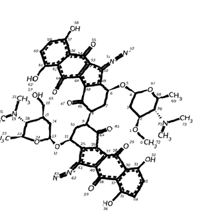 CO[C@H]1C[C@@H](O[C@H]2C[C@@H](C3C[C@H](O[C@@H]4C[C@H](CO)[C@@H](N(C)C)[C@H](C)O4)c4c(c5c(=O)c6c(O)ccc(O)c6c(=O)c=5c4=[N+]=[N-])C3=O)C(=O)c3c2c(=[N+]=[N-])c2c(=O)c4c(O)ccc(O)c4c(=O)c3=2)O[C@@H](C)[C@@H]1N(C)C